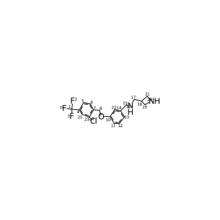 FC(F)(F)c1ccc(COc2cccc(CNCC3CNC3)c2)c(Cl)c1